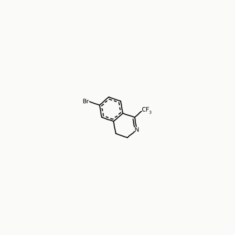 FC(F)(F)C1=NCCc2cc(Br)ccc21